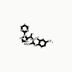 CSC(=Nc1ccc(C(F)(F)F)cc1Cl)NC(C)c1ncnn1-c1ncccn1